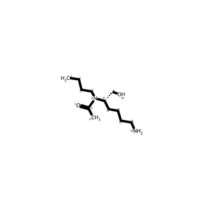 CCCCN(C(C)=O)[C@H](CO)CCCCN